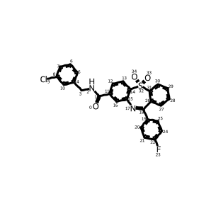 O=C(NCc1cccc(Cl)c1)c1ccc2c(c1)N=C(c1ccc(F)cc1)c1ccccc1S2(=O)=O